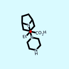 CCC(C(=O)O)N1C2CCC1CC(N1CCNCC1)C2